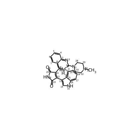 C=C(/N=C1/C=CC=C/C1=C(/N)C1=C(c2c[nH]c3ccccc23)C(=O)NC1=O)N1CCN(C)CC1